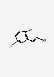 O/N=C/c1cc(C(F)(F)F)ccc1F